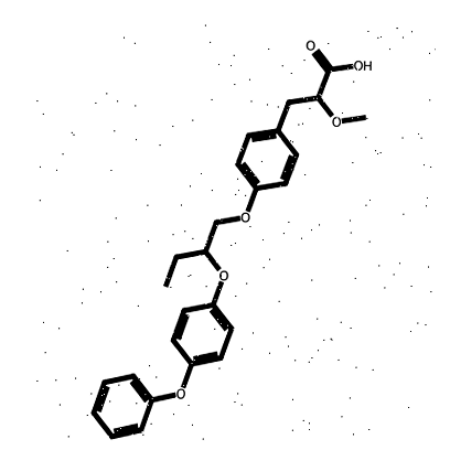 CCC(COc1ccc(CC(OC)C(=O)O)cc1)Oc1ccc(Oc2ccccc2)cc1